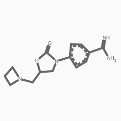 N=C(N)c1ccc(N2CC(CN3CCC3)OC2=O)cc1